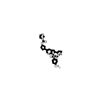 Cc1ccc(S(=O)(=O)n2c(-c3ccnn3C)cc3cc(C4CCC(OC(=O)n5ccnc5)C4)cnc32)cc1